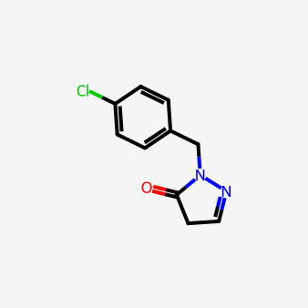 O=C1CC=NN1Cc1ccc(Cl)cc1